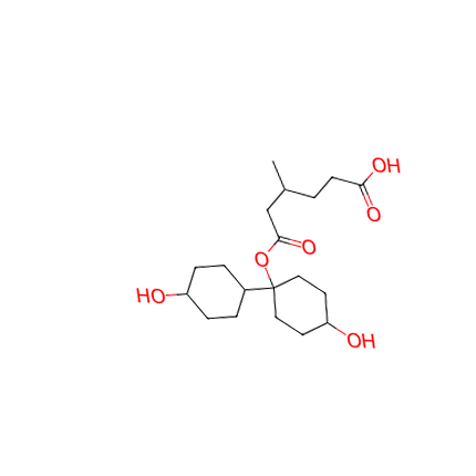 CC(CCC(=O)O)CC(=O)OC1(C2CCC(O)CC2)CCC(O)CC1